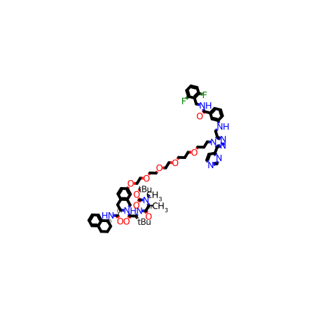 C[C@@H](C(=O)NC(C(=O)N1Cc2cc(OCCOCCOCCOCCCOCCCn3c(CNc4cccc(C(=O)NCc5c(F)cccc5F)c4)nnc3-c3ccncn3)ccc2C[C@H]1C(=O)N[C@@H]1CCCc2ccccc21)C(C)(C)C)N(C)C(=O)OC(C)(C)C